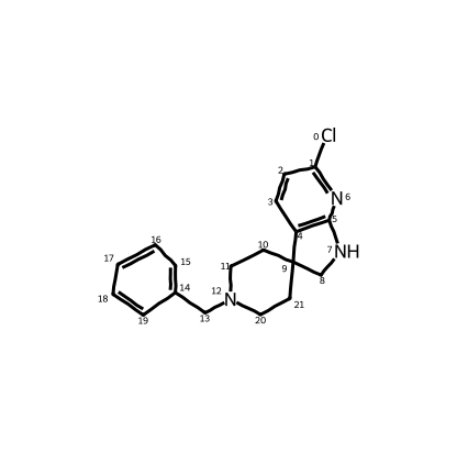 Clc1ccc2c(n1)NCC21CCN(Cc2ccccc2)CC1